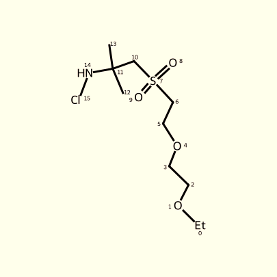 CCOCCOCCS(=O)(=O)CC(C)(C)NCl